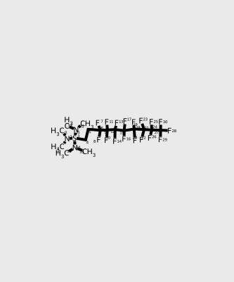 CN(C)S(CCC(F)(F)C(F)(F)C(F)(F)C(F)(F)C(F)(F)C(F)(F)C(F)(F)C(F)(F)F)(N(C)C)N(C)C